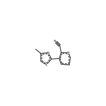 Cc1csc(-c2cccnc2C#N)n1